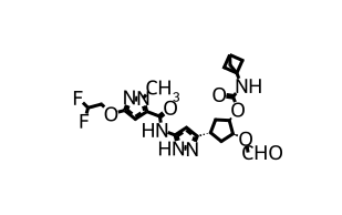 Cn1nc(OCC(F)F)cc1C(=O)Nc1cc([C@@H]2C[C@H](OC(=O)NC34CC(C3)C4)[C@H](OC=O)C2)n[nH]1